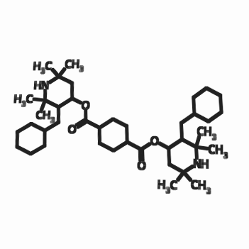 CC1(C)CC(OC(=O)C2CCC(C(=O)OC3CC(C)(C)NC(C)(C)C3CC3CCCCC3)CC2)C(CC2CCCCC2)C(C)(C)N1